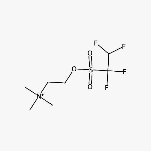 C[N+](C)(C)CCOS(=O)(=O)C(F)(F)C(F)F